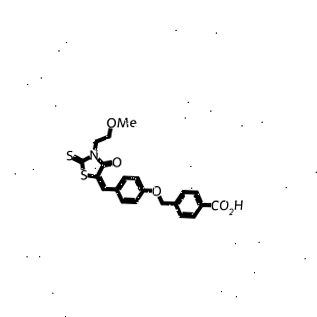 COCCN1C(=O)/C(=C\c2ccc(OCc3ccc(C(=O)O)cc3)cc2)SC1=S